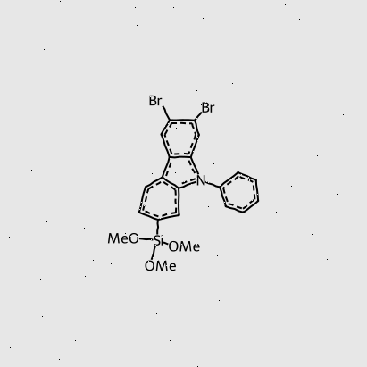 CO[Si](OC)(OC)c1ccc2c3cc(Br)c(Br)cc3n(-c3ccccc3)c2c1